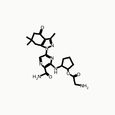 Cc1nn(-c2cnc(C(N)=O)c(NC3CCCC3OC(=O)CN)n2)c2c1C(=O)CC(C)(C)C2